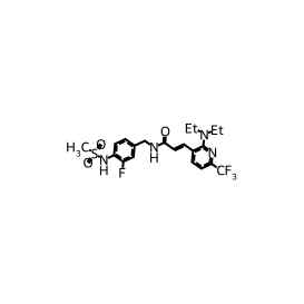 CCN(CC)c1nc(C(F)(F)F)ccc1C=CC(=O)NCc1ccc(NS(C)(=O)=O)c(F)c1